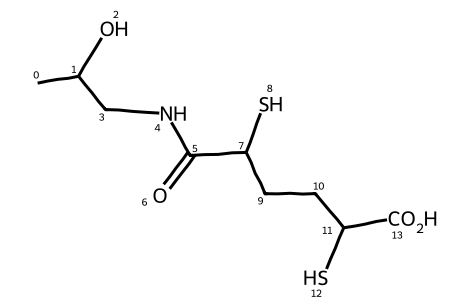 CC(O)CNC(=O)C(S)CCC(S)C(=O)O